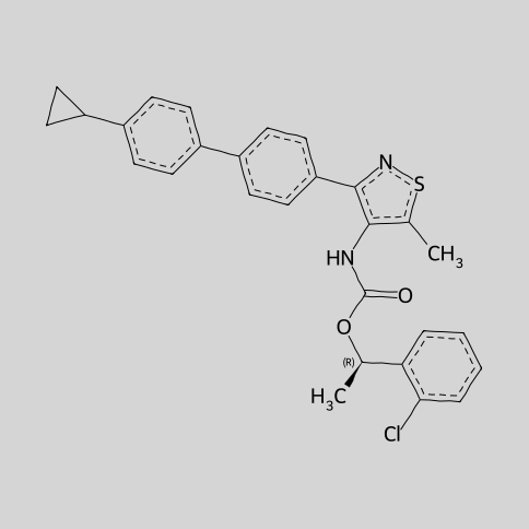 Cc1snc(-c2ccc(-c3ccc(C4CC4)cc3)cc2)c1NC(=O)O[C@H](C)c1ccccc1Cl